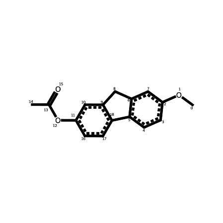 COc1ccc2c(c1)Cc1cc(OC(C)=O)ccc1-2